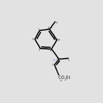 CCOC(=O)/C=C(\C)c1cccc(C)c1